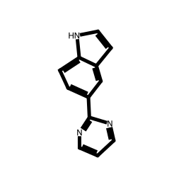 c1cnc(-c2ccc3[nH]ccc3c2)nc1